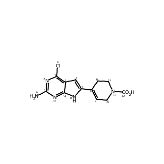 Nc1nc(Cl)c2cc(C3=CCN(C(=O)O)CC3)[nH]c2n1